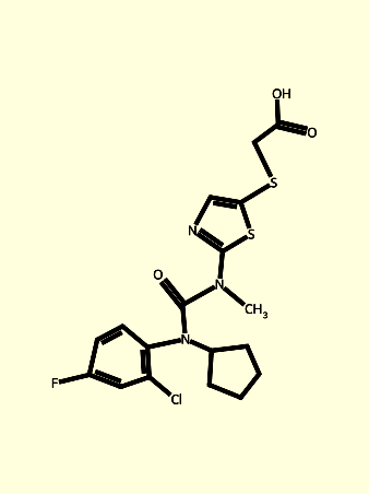 CN(C(=O)N(c1ccc(F)cc1Cl)C1CCCC1)c1ncc(SCC(=O)O)s1